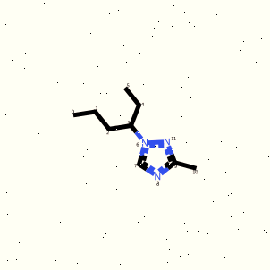 CCCC(CC)n1cnc(C)n1